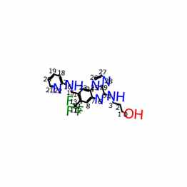 OCCCNc1nc2cc(C(F)(F)F)c(CNc3ccccn3)cc2n2ccnc12